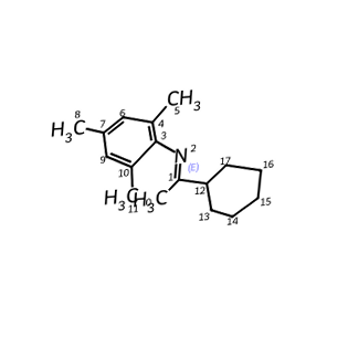 C/C(=N\c1c(C)cc(C)cc1C)C1CCCCC1